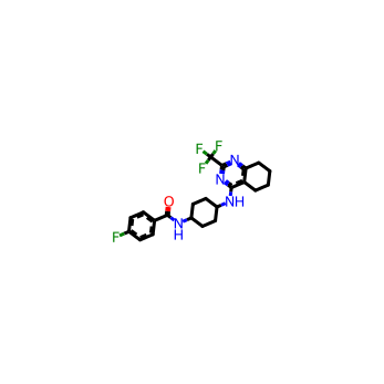 O=C(NC1CCC(Nc2nc(C(F)(F)F)nc3c2CCCC3)CC1)c1ccc(F)cc1